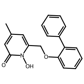 Cc1cc(COc2ccccc2-c2ccccc2)n(O)c(=O)c1